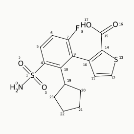 NS(=O)(=O)c1ccc(F)c(-c2ccsc2C(=O)O)c1C1CCCC1